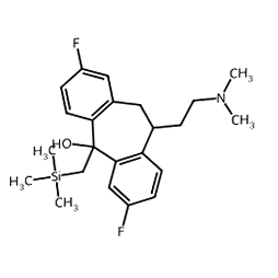 CN(C)CCC1Cc2cc(F)ccc2C(O)(C[Si](C)(C)C)c2cc(F)ccc21